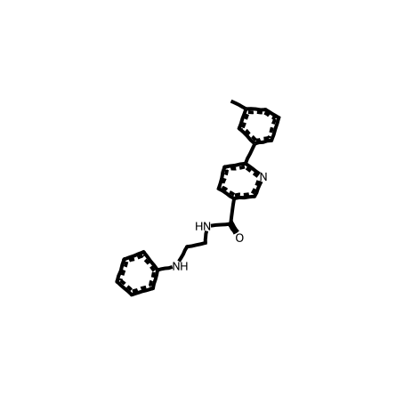 Cc1cccc(-c2ccc(C(=O)NCCNc3ccccc3)cn2)c1